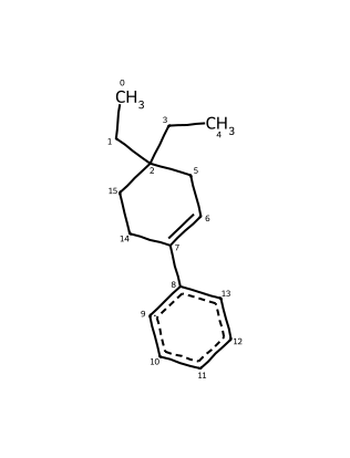 CCC1(CC)CC=C(c2[c]cccc2)CC1